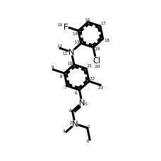 CCN(C)C=Nc1cc(C)c(N(C)c2c(F)cccc2Cl)cc1C